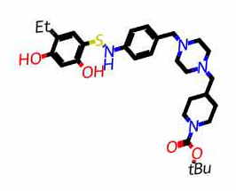 CCc1cc(SNc2ccc(CN3CCN(CC4CCN(C(=O)OC(C)(C)C)CC4)CC3)cc2)c(O)cc1O